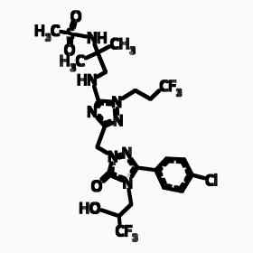 CC(C)(CNc1nc(Cn2nc(-c3ccc(Cl)cc3)n(CC(O)C(F)(F)F)c2=O)nn1CCC(F)(F)F)NS(C)(=O)=O